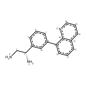 NC[C@@H](N)c1cccc(-c2cccc3cccnc23)c1